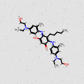 CCCCCC1=C(Nc2ccc(N(CC)CCO)cc2C)C(=O)C=C(O)/C1=N\c1ccc(N(CC)CCO)cc1C